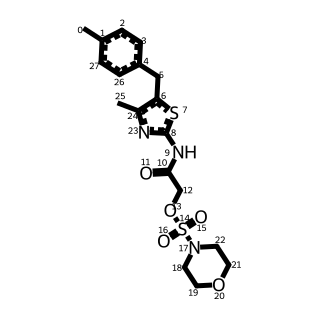 Cc1ccc(Cc2sc(NC(=O)COS(=O)(=O)N3CCOCC3)nc2C)cc1